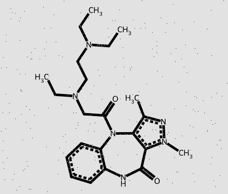 CCN(CC)CCN(CC)CC(=O)N1c2ccccc2NC(=O)c2c1c(C)nn2C